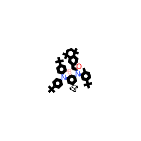 Cc1ccc(C(C)(C)C)cc1N1c2cc([Si](C)(C)C)cc3c2B(c2cc(C(C)(C)C)ccc2N3c2ccc(C(C)(C)C)cc2)c2c1oc1cc3c(cc21)C(C)(C)CCC3(C)C